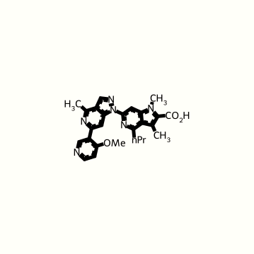 CCCc1nc(-n2ncc3c(C)nc(-c4cnccc4OC)cc32)cc2c1c(C)c(C(=O)O)n2C